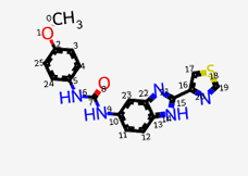 COc1ccc(NC(=O)Nc2ccc3[nH]c(-c4cscn4)nc3c2)cc1